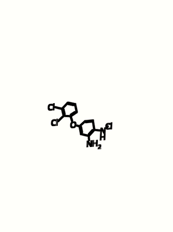 Nc1cc(Oc2cccc(Cl)c2Cl)ccc1NCl